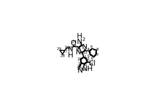 Nc1nc(-c2ccccc2)c(-c2cc(Cl)c3[nH]ncc3c2)nc1C(=O)NCC1CC1